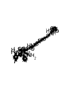 CC(C)(C)[C@H](c1cc(-c2cc(F)ccc2F)cn1Cc1ccccc1)N(CCCN)C(=O)CSCCC(=O)NCCOCCOCCOCCOCCNC(O)CN1C(=O)C=CC1=O